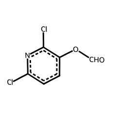 O=COc1ccc(Cl)nc1Cl